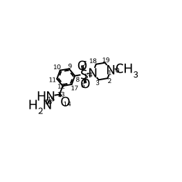 CN1CCN(S(=O)(=O)c2cccc(C(=O)NN)c2)CC1